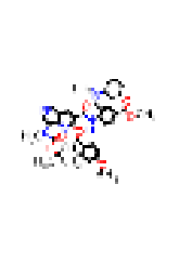 COC(=O)c1ccc(NC(=O)c2cc3cncc(N(C)C(=O)OC(C)(C)C)c3nc2OCc2ccc(OC)cc2)c(CN(C)C2CCCCC2)c1